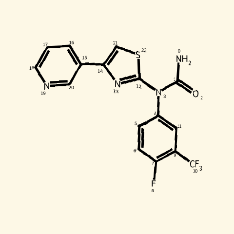 NC(=O)N(c1ccc(F)c(C(F)(F)F)c1)c1nc(-c2cccnc2)cs1